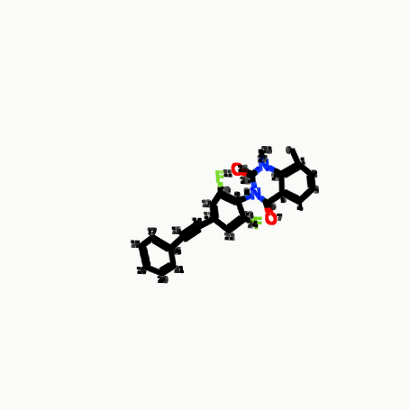 Cc1cccc2c(=O)n(-c3c(F)cc(C#Cc4ccccc4)cc3F)c(=O)n(C)c12